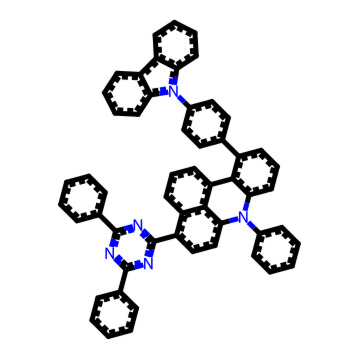 c1ccc(-c2nc(-c3ccccc3)nc(-c3ccc4c5c(cccc35)-c3c(-c5ccc(-n6c7ccccc7c7ccccc76)cc5)cccc3N4c3ccccc3)n2)cc1